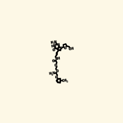 Cc1cccc(OCC(N)OCCOCC(=O)NCC#Cc2cn(C3CCC(CO)O3)c3nc(N)[nH]c(=O)c23)c1